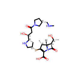 CNC[C@H]1CCN(C(=O)C[C@H](O)[C@@H]2C[C@H](SC3=C(C(=O)O)N4C(=O)[C@H]([C@@H](C)O)[C@H]4[C@H]3C)CN2)C1